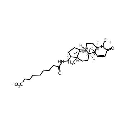 CN1C(=O)C=C[C@]2(C)[C@H]3CC[C@]4(C)[C@@H](CNC(=O)CCCCCCCC(=O)O)CC[C@H]4[C@@H]3CC[C@@H]12